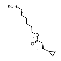 CCCCCCCCCCCCCCOC(=O)/C=C/C1CC1